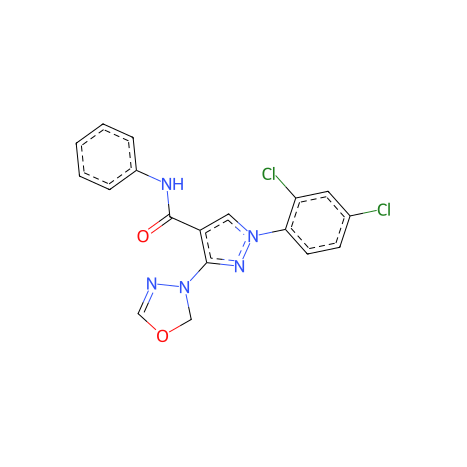 O=C(Nc1ccccc1)c1cn(-c2ccc(Cl)cc2Cl)nc1N1COC=N1